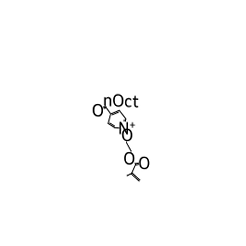 C=C(C)C(=O)OCCO[n+]1ccc(C(=O)CCCCCCCC)cc1